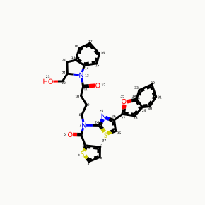 O=C(c1cccs1)N(CCCC(=O)N1c2ccccc2CC1CO)c1nc(-c2cc3ccccc3o2)cs1